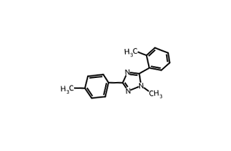 Cc1ccc(-c2nc(-c3ccccc3C)n(C)n2)cc1